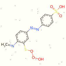 C=Nc1ccc(/N=N/c2ccc(S(=O)(=O)O)cc2)cc1SOOO